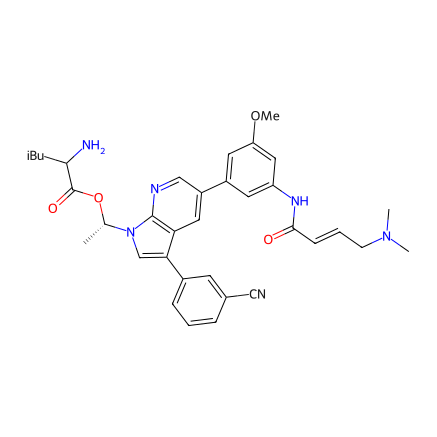 CCC(C)C(N)C(=O)O[C@@H](C)n1cc(-c2cccc(C#N)c2)c2cc(-c3cc(NC(=O)/C=C/CN(C)C)cc(OC)c3)cnc21